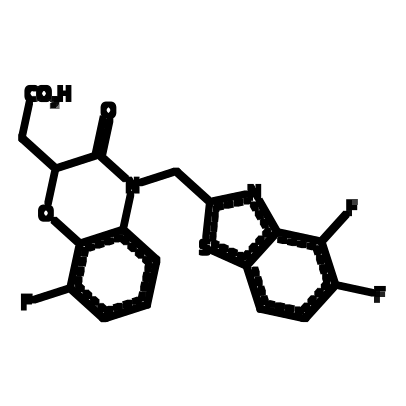 O=C(O)CC1Oc2c(F)cccc2N(Cc2nc3c(F)c(F)ccc3s2)C1=O